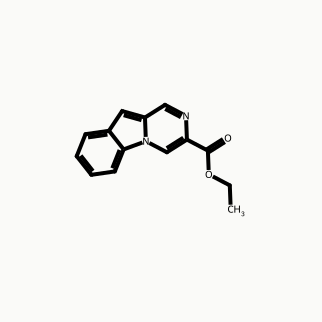 CCOC(=O)c1cn2c(cn1)cc1ccccc12